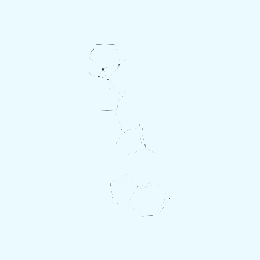 CCCCC1=NN(C(=O)NC2CC3CC[C@]2(C)C3(C)C)CC1c1csc2ccccc12